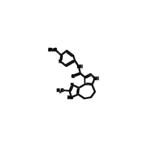 COc1ccc(NC(=O)c2c[nH]c3c2-c2nc(C)[nH]c2CCC3)cn1